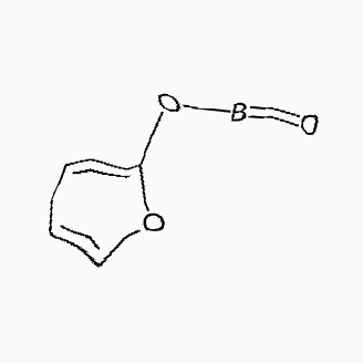 O=BOc1ccco1